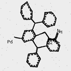 CC(=N)C(=N)Cc1c(C(c2ccccc2)c2ccccc2)cc(C)cc1C(c1ccccc1)c1ccccc1.[Pd]